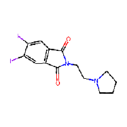 O=C1c2cc(I)c(I)cc2C(=O)N1CCN1CCCC1